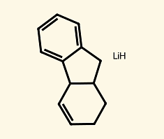 C1=CC2c3ccccc3CC2CC1.[LiH]